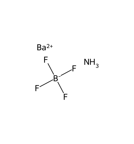 F[B-](F)(F)F.N.[Ba+2]